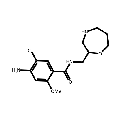 COc1cc(N)c(Cl)cc1C(=O)NCC1CNCCCO1